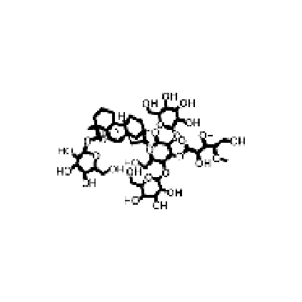 C=C1C[C@@]23CC[C@@H]4C(C)(C(=O)OC5OC(CO)C(O)C(O)C5O)CCC[C@@]4(C)[C@@H]2CC[C@]1(OC1OC(CO)C(OC2OC(CO)C(O)C(O)C2O)C(OC(O)C(O)C(O)C(CO)OC)C1OC1OC(CO)C(O)C(O)C1O)C3